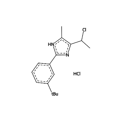 Cc1[nH]c(-c2cccc(C(C)(C)C)c2)nc1C(C)Cl.Cl